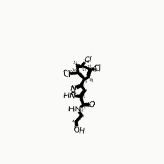 O=C(NCCO)c1cc(-c2cc(Cl)c(Cl)cc2Cl)n[nH]1